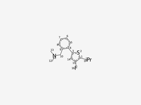 CC(C)c1sc(-c2ccccc2CN(C)C)cc1F